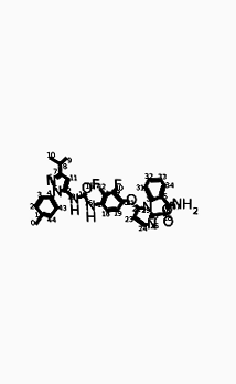 Cc1ccc(-n2nc(C(C)C)cc2NC(=O)Nc2ccc(OC3C=CN=C(C=O)N3c3ccccc3C(N)=O)c(F)c2F)cc1